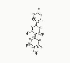 CC1CCC(C2CC(F)C(C3CC(F)C(CF)C(F)C3)C(F)C2)OC1